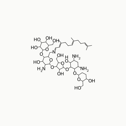 CC(C)=CCC/C(C)=C/CC/C(C)=C/C=N/CC1OC(OC2C(CO)OC(OC3C(O)C(N)CC(N)C3OC3CCC(O)C(CO)O3)C2O)C(N)C(O)C1OC1OC(CO)C(O)C(O)C1O